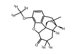 [2H]C([2H])([2H])Oc1ccc2c3c1OC1C(=O)C([2H])([2H])C[C@@]4([2H])[C@@H](C2)N(C)CC[C@]314